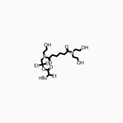 CCCCC(CC)C(=O)OC(CC)(CC)CN(CCO)C(=O)CCCCC(=O)N(CCO)CCO